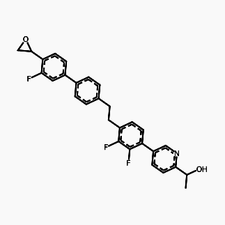 CC(O)c1ccc(-c2ccc(CCc3ccc(-c4ccc(C5CO5)c(F)c4)cc3)c(F)c2F)cn1